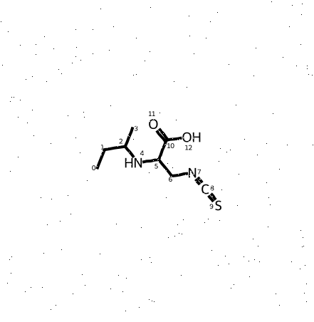 CCC(C)NC(CN=C=S)C(=O)O